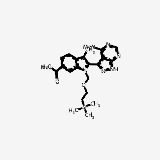 CNc1ncnc2[nH]nc(-c3c(C)c4ccc(C(=O)OC)cc4n3COCC[Si](C)(C)C)c12